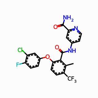 Cc1c(C(F)(F)F)ccc(Oc2ccc(F)c(Cl)c2)c1C(=O)Nc1ccnc(C(N)=O)c1